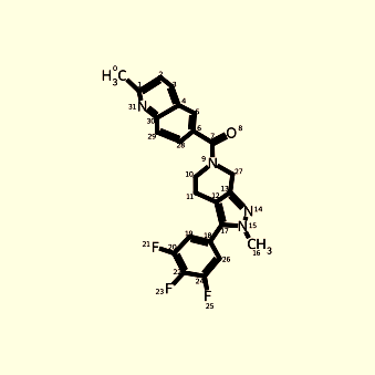 Cc1ccc2cc(C(=O)N3CCc4c(nn(C)c4-c4cc(F)c(F)c(F)c4)C3)ccc2n1